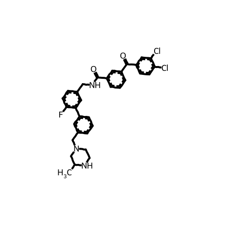 CC1CN(Cc2cccc(-c3cc(CNC(=O)c4cccc(C(=O)c5ccc(Cl)c(Cl)c5)c4)ccc3F)c2)CCN1